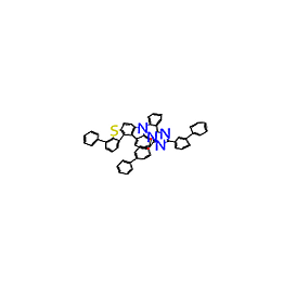 c1ccc(-c2ccc(-c3nc(-c4cccc(-c5ccccc5)c4)nc(-c4ccccc4-n4c5ccccc5c5c6c(ccc54)sc4c(-c5ccccc5)cccc46)n3)cc2)cc1